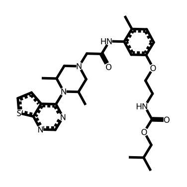 Cc1ccc(OCCNC(=O)OCC(C)C)cc1NC(=O)CN1CC(C)N(c2ncnc3sccc23)C(C)C1